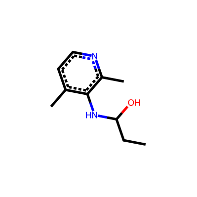 CCC(O)Nc1c(C)ccnc1C